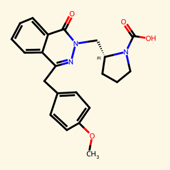 COc1ccc(Cc2nn(C[C@H]3CCCN3C(=O)O)c(=O)c3ccccc23)cc1